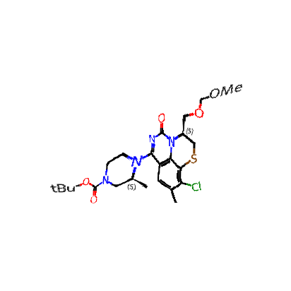 COCOC[C@H]1CSc2c(Cl)c(C)cc3c(N4CCN(C(=O)OC(C)(C)C)C[C@@H]4C)nc(=O)n1c23